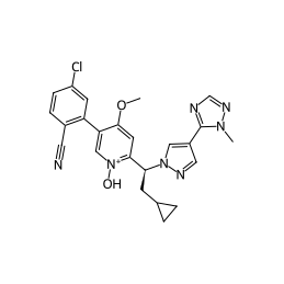 COc1cc([C@H](CC2CC2)n2cc(-c3ncnn3C)cn2)[n+](O)cc1-c1cc(Cl)ccc1C#N